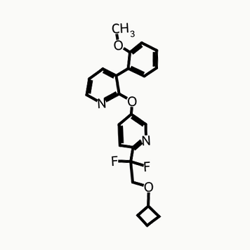 COc1ccccc1-c1cccnc1Oc1ccc(C(F)(F)COC2CCC2)nc1